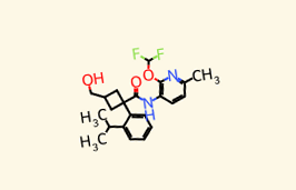 Cc1ccc(NC(=O)C2(c3ccccc3C(C)C)CC(CO)C2)c(OC(F)F)n1